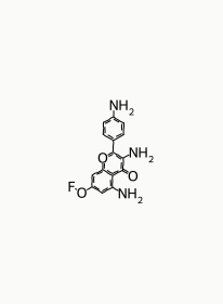 Nc1ccc(-c2oc3cc(OF)cc(N)c3c(=O)c2N)cc1